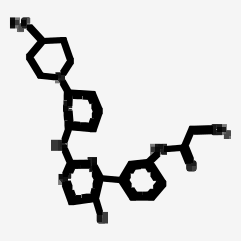 C=CC(=O)Nc1cccc(-c2nc(Nc3cccc(N4CCC(C)CC4)c3)ncc2Cl)c1